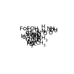 CC(C)[C@H](NC(=O)CN1C(=O)C=CC1=O)C(=O)N[C@@H](C)C(=O)N[C@@H](CCN(C(=O)CO)[C@@H](c1cc(-c2cc(F)ccc2F)cn1Cc1ccccc1)C(C)(C)C)C(=O)NCCNC(=O)CC[C@H](N)C(=O)O